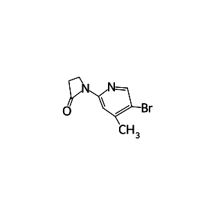 Cc1cc(N2CCC2=O)ncc1Br